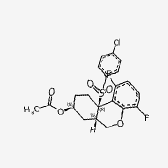 CC(=O)O[C@H]1CC[C@]2(S(=O)(=O)c3ccc(Cl)cc3)c3c(F)ccc(F)c3OC[C@@H]2C1